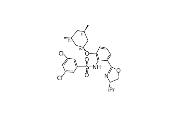 CC(C)C1COC(c2cccc(O[C@@H]3C[C@H](C)C[C@H](C)C3)c2NS(=O)(=O)c2cc(Cl)cc(Cl)c2)=N1